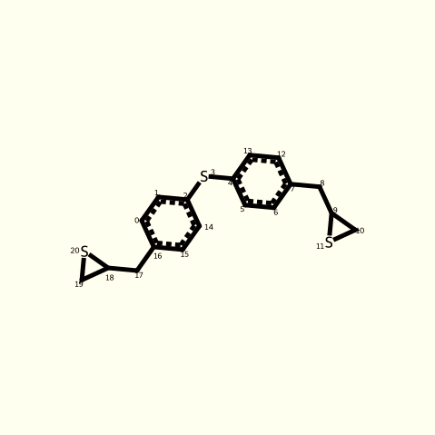 c1cc(Sc2ccc(CC3CS3)cc2)ccc1CC1CS1